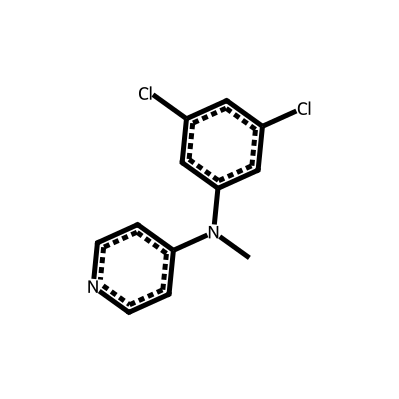 CN(c1ccncc1)c1cc(Cl)cc(Cl)c1